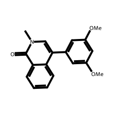 COc1cc(OC)cc(-c2cn(C)c(=O)c3ccccc23)c1